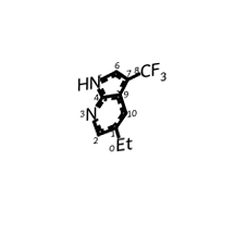 CCc1cnc2[nH]cc(C(F)(F)F)c2c1